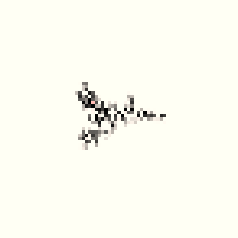 COCC(O)COc1ccc(-c2nccs2)c2oc(N3CC4CCC(C3)N4C(=O)O)nc12